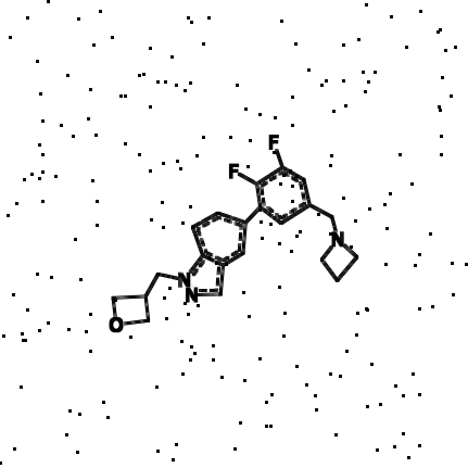 Fc1cc(CN2CCC2)cc(-c2ccc3c(cnn3CC3COC3)c2)c1F